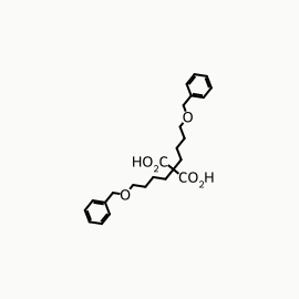 O=C(O)C(CCCCOCc1ccccc1)(CCCCOCc1ccccc1)C(=O)O